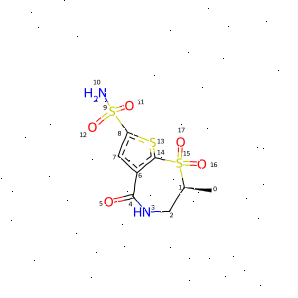 C[C@H]1CNC(=O)c2cc(S(N)(=O)=O)sc2S1(=O)=O